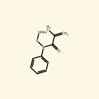 C=C(C)C(=O)N(SCCCCCC)c1ccccc1